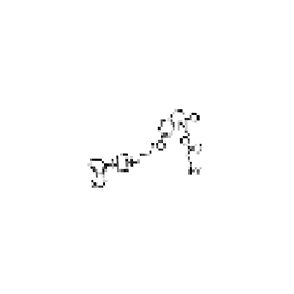 CC(C)CCC(=O)OCN1C(=O)CCc2ccc(OCCCCN3CCN(c4cccc5sccc45)CC3)cc21